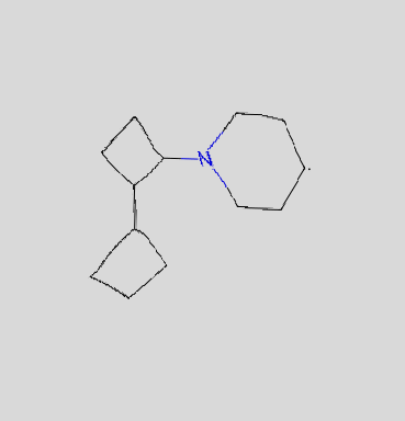 [CH]1CCN(C2CCC2C2CCC2)CC1